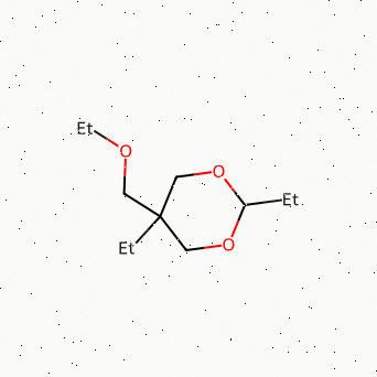 CCOCC1(CC)COC(CC)OC1